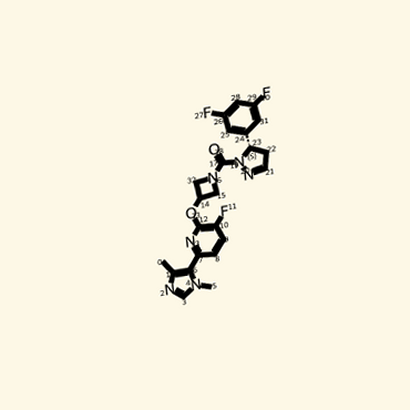 Cc1ncn(C)c1-c1ccc(F)c(OC2CN(C(=O)N3N=CC[C@H]3c3cc(F)cc(F)c3)C2)n1